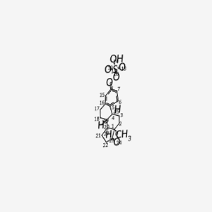 C[C@]12CC[C@@H]3c4ccc(OOS(=O)(=O)O)cc4CC[C@H]3[C@@H]1CCC2=O